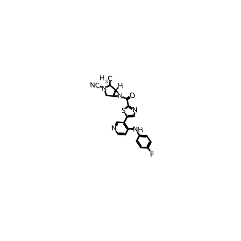 CC1[C@H]2C(CN1C#N)N2C(=O)c1ncc(-c2cnccc2Nc2ccc(F)cc2)s1